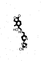 Cc1c(C(O)CNCc2ccc(-n3cnc(C#N)n3)nc2)ccc2c1COC2=O